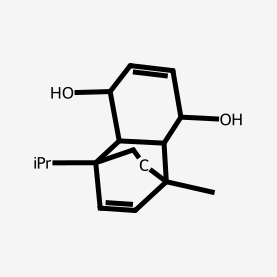 CC(C)C12C=CC(C)(CC1)C1C(O)C=CC(O)C12